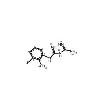 Cc1c(F)cccc1NC(=N)NC(=N)N